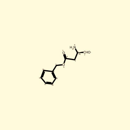 N[C@@H]([C]=O)CC(=O)OCc1ccccc1